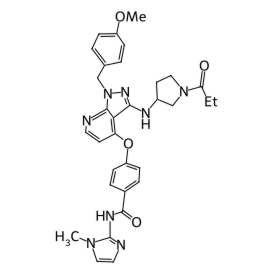 CCC(=O)N1CCC(Nc2nn(Cc3ccc(OC)cc3)c3nccc(Oc4ccc(C(=O)Nc5nccn5C)cc4)c23)C1